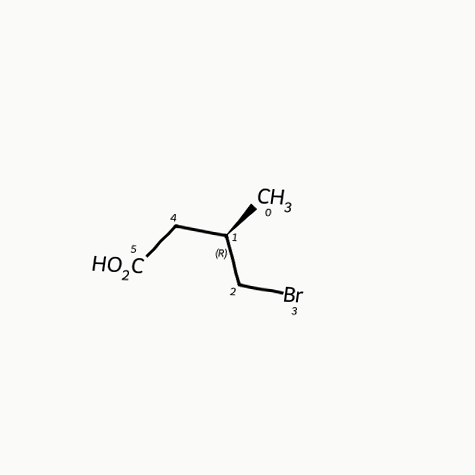 C[C@@H](CBr)CC(=O)O